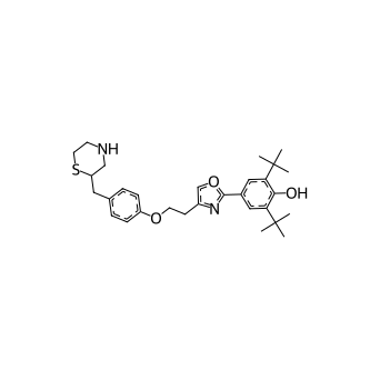 CC(C)(C)c1cc(-c2nc(CCOc3ccc(CC4CNCCS4)cc3)co2)cc(C(C)(C)C)c1O